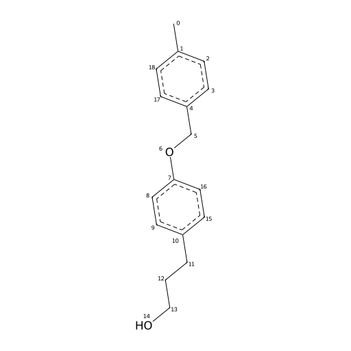 Cc1ccc(COc2ccc(CCCO)cc2)cc1